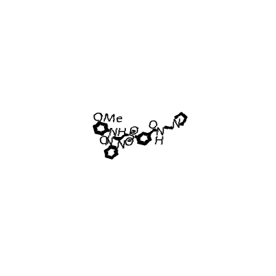 COc1ccc(Cl)c(Nc2nc3ccccc3nc2CS(=O)(=O)c2cccc(C(=O)NCCN3CCCC3)c2)c1